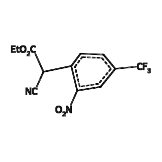 CCOC(=O)C(C#N)c1ccc(C(F)(F)F)cc1[N+](=O)[O-]